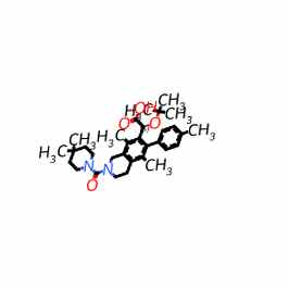 Cc1ccc(-c2c(C)c3c(c(C)c2[C@H](OC(C)(C)C)C(=O)O)CN(C(=O)N2CCC(C)(C)CC2)CC3)cc1